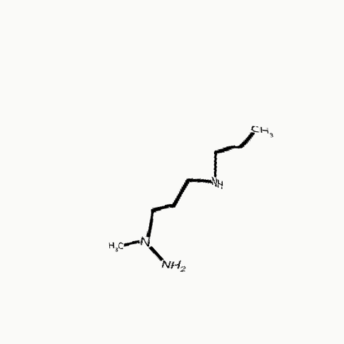 CCCNCCCN(C)N